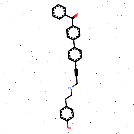 O=C(c1ccccc1)c1ccc(-c2ccc(C#CCNCCc3ccc(O)cc3)cc2)cc1